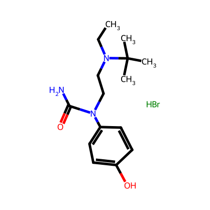 Br.CCN(CCN(C(N)=O)c1ccc(O)cc1)C(C)(C)C